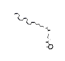 CC/C=C\C/C=C\C/C=C\C/C=C\C/C=C\CCCCOC(CC)C(=O)OCCNC(=O)c1ccccc1OC(C)=O